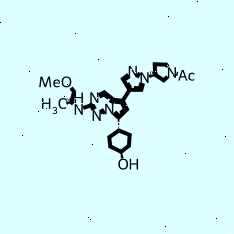 COC[C@H](C)Nc1ncc2c(-c3cnn([C@H]4CCN(C(C)=O)C4)c3)cc([C@H]3CC[C@H](O)CC3)n2n1